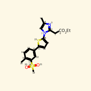 CCOC(=O)Cc1nc(C)cn1-c1ccc(-c2ccc(C)c(S(C)(=O)=O)c2)s1